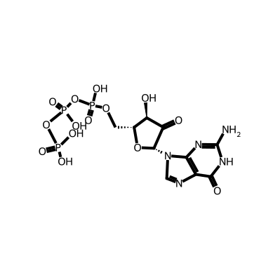 Nc1nc2c(ncn2[C@@H]2O[C@H](COP(=O)(O)OP(=O)(O)OP(=O)(O)O)[C@@H](O)C2=O)c(=O)[nH]1